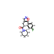 O=C(CCc1cnoc1-c1ccc(F)cc1)N1CCCCCC1